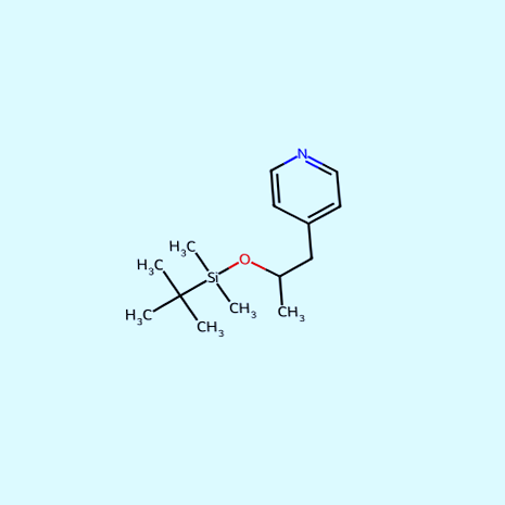 CC(Cc1ccncc1)O[Si](C)(C)C(C)(C)C